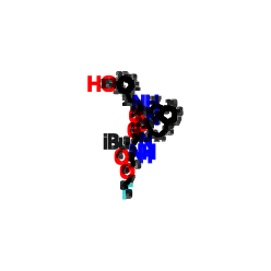 CC[C@H](C)[C@H](NC(=O)COCCF)C(=O)N[C@H]1CCc2cccc3c2N(C1=O)[C@H](C(=O)NCc1cccc(O)c1)C3